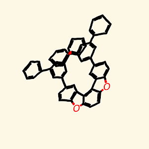 c1ccc(-c2cc(-c3ccccc3)cc(-c3ccc4oc5ccc6oc7ccc(-c8cc(-c9ccccc9)cc(-c9ccccc9)c8)cc7c6c5c4c3)c2)cc1